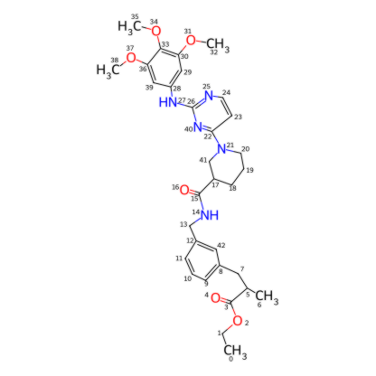 CCOC(=O)C(C)Cc1cccc(CNC(=O)C2CCCN(c3ccnc(Nc4cc(OC)c(OC)c(OC)c4)n3)C2)c1